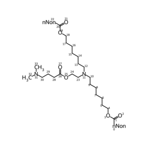 CCCCCCCCCC(=O)OCCCCCCCN(CCCCCCCOC(=O)CCCCCCCCC)CCOC(=O)CCCN(C)C